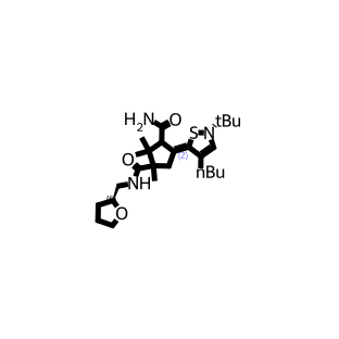 CCCCC1=CN(C(C)(C)C)S/C1=C1/CC(C)(C(=O)NC[C@@H]2CCCO2)C(C)(C)C1C(N)=O